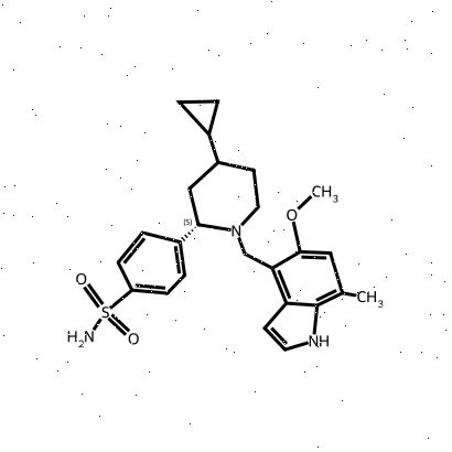 COc1cc(C)c2[nH]ccc2c1CN1CCC(C2CC2)C[C@H]1c1ccc(S(N)(=O)=O)cc1